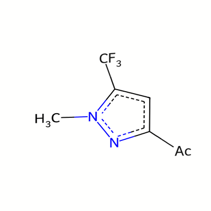 CC(=O)c1cc(C(F)(F)F)n(C)n1